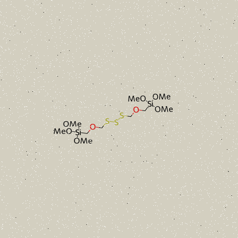 CO[Si](COCSSSCOC[Si](OC)(OC)OC)(OC)OC